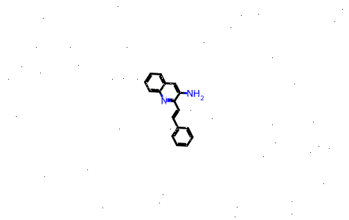 Nc1cc2ccccc2nc1C=Cc1ccccc1